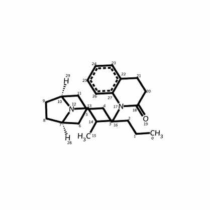 CCCCCC1C[C@H]2CC[C@@H](C1)N2CC(C)CN1C(=O)CCc2ccccc21